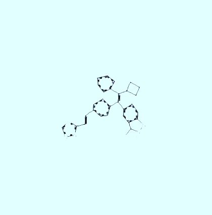 FC1NNc2ccc(/C(=C(/c3ccccc3)C3CCC3)c3ccc(/C=C/c4nnco4)cc3)cc21